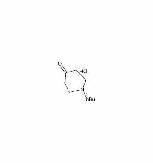 CCCCN1CCC(=O)CC1.Cl